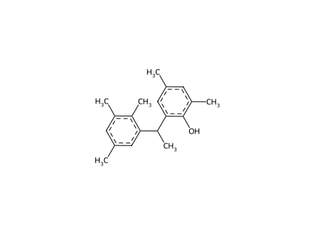 Cc1cc(C)c(C)c(C(C)c2cc(C)cc(C)c2O)c1